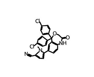 Cn1c(C#N)ccc1-c1ccc2c(c1)C(c1ccc(Cl)cc1)(c1ccc(Cl)cc1)OCC(=O)N2